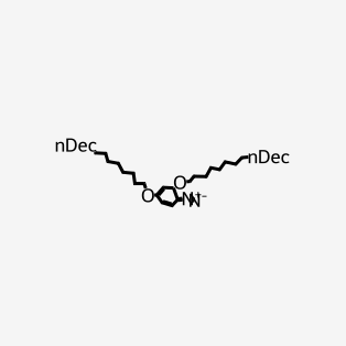 CCCCCCCCCCCCCCCCCCOC1=CC(OCCCCCCCCCCCCCCCCCC)C(=[N+]=[N-])C=C1